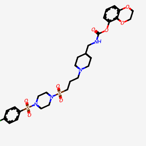 O=C(NCC1CCN(CCCS(=O)(=O)N2CCN(S(=O)(=O)c3ccc(F)cc3)CC2)CC1)Oc1cccc2c1OCCO2